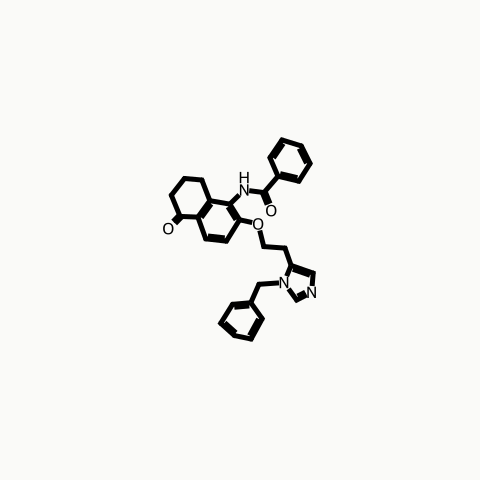 O=C(Nc1c(OCCc2cncn2Cc2ccccc2)ccc2c1CCCC2=O)c1ccccc1